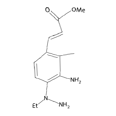 CCN(N)c1ccc(/C=C/C(=O)OC)c(C)c1N